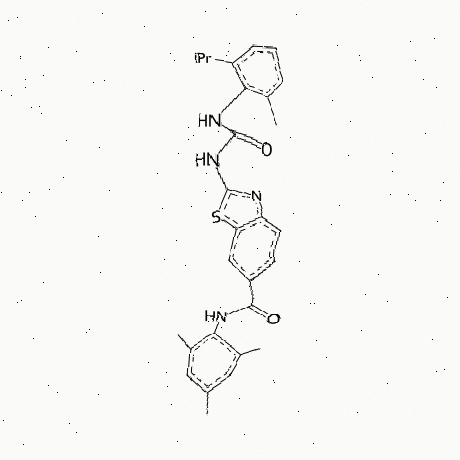 Cc1cc(C)c(NC(=O)c2ccc3nc(NC(=O)Nc4c(C)cccc4C(C)C)sc3c2)c(C)c1